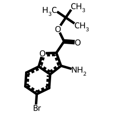 CC(C)(C)OC(=O)c1oc2ccc(Br)cc2c1N